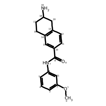 COc1cccc(NC(=O)c2ccc3c(c2)CCC(N)C3)c1